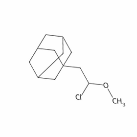 COC(Cl)CC12CC3CC(CC(C3)C1)C2